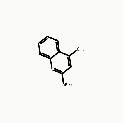 CCCCCc1cc(C)c2ccccc2n1